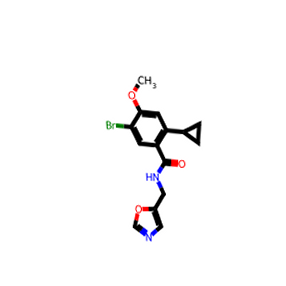 COc1cc(C2CC2)c(C(=O)NCc2cnco2)cc1Br